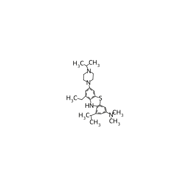 CCc1cc(N2CCN(C(C)C)CC2)cc2c1Nc1c(cc(N(C)C)cc1C(C)C)S2